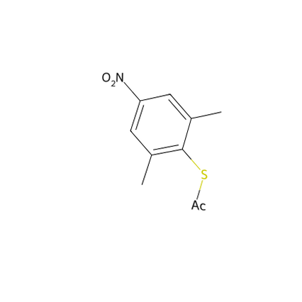 CC(=O)Sc1c(C)cc([N+](=O)[O-])cc1C